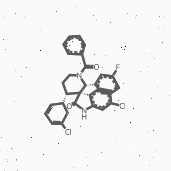 O=C(c1ccccc1)N1CC[C@@H](C2C=CC=C(Cl)C2)[C@]2(C(=O)Nc3cc(Cl)ccc32)[C@H]1c1cccc(F)c1